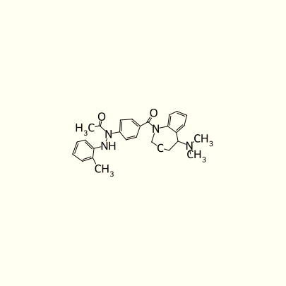 CC(=O)N(Nc1ccccc1C)c1ccc(C(=O)N2CCCC(N(C)C)c3ccccc32)cc1